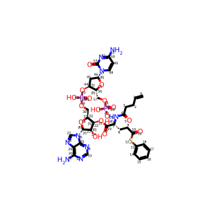 C=CCCC(=O)N[C@H](CCC(=O)Sc1ccccc1)C(=O)O[C@H]1[C@@H](O)[C@H](n2cnc3c(N)ncnc32)O[C@H]1COP(=O)(O)O[C@H]1C[C@H](n2ccc(N)nc2=O)O[C@@H]1COP(=O)(O)O